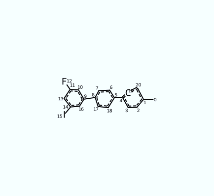 Cc1ccc(-c2ccc(-c3cc(F)cc(I)c3)cc2)cc1